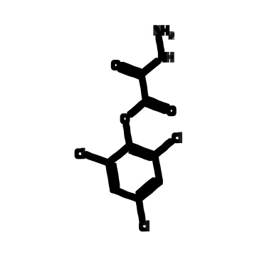 NNC(=O)C(=O)Oc1c(Cl)cc(Cl)cc1Cl